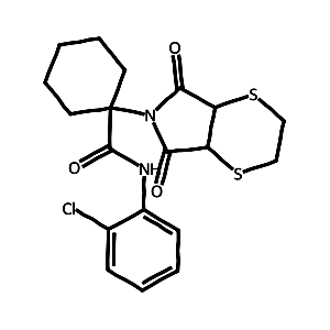 O=C1C2SCCSC2C(=O)N1C1(C(=O)Nc2ccccc2Cl)CCCCC1